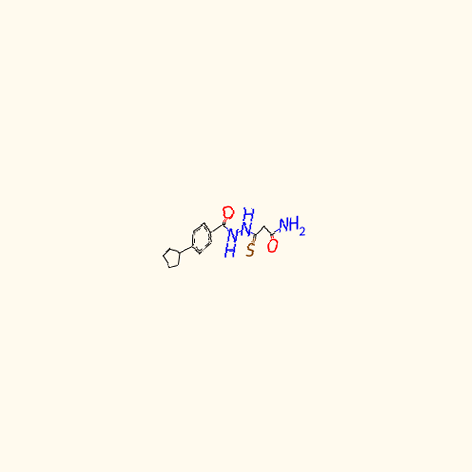 NC(=O)CC(=S)NNC(=O)c1ccc(C2CCCC2)cc1